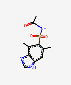 CC(=O)NS(=O)(=O)c1c(C)cc2[nH]cnc2c1C